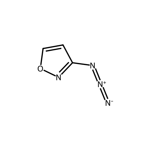 [N-]=[N+]=Nc1ccon1